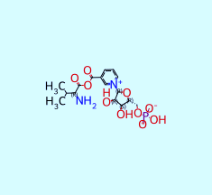 CC(C)[C@@H](N)C(=O)OC(=O)c1ccc[n+]([C@@H]2O[C@H](COP(=O)([O-])O)[C@@H](O)[C@H]2O)c1